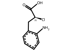 Nc1ccccc1C[C@H](Cl)C(=O)O